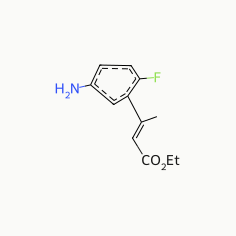 CCOC(=O)/C=C(\C)c1cc(N)ccc1F